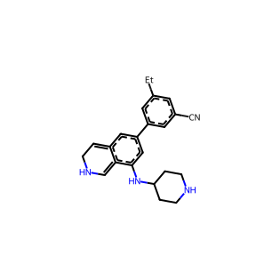 CCc1cc(C#N)cc(-c2cc(NC3CCNCC3)c3c(c2)=CCNC=3)c1